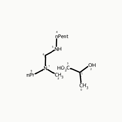 CC(O)C(=O)O.CCCCCNCN(C)CCC